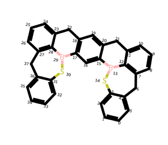 c1ccc2c(c1)Cc1cccc3c1B(S2)c1cc2c(cc1C3)Cc1cccc3c1B2Sc1ccccc1C3